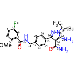 COc1ccc(F)cc1C(=O)NCc1ccc(-c2nn(C(C(C)(C)C)C(F)(F)F)c(N)c2C(N)=O)cc1